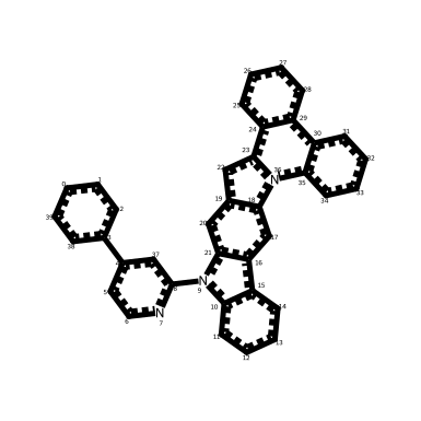 c1ccc(-c2ccnc(-n3c4ccccc4c4cc5c(cc43)cc3c4ccccc4c4ccccc4n53)c2)cc1